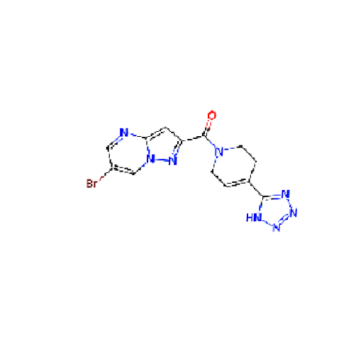 O=C(c1cc2ncc(Br)cn2n1)N1CC=C(c2nnn[nH]2)CC1